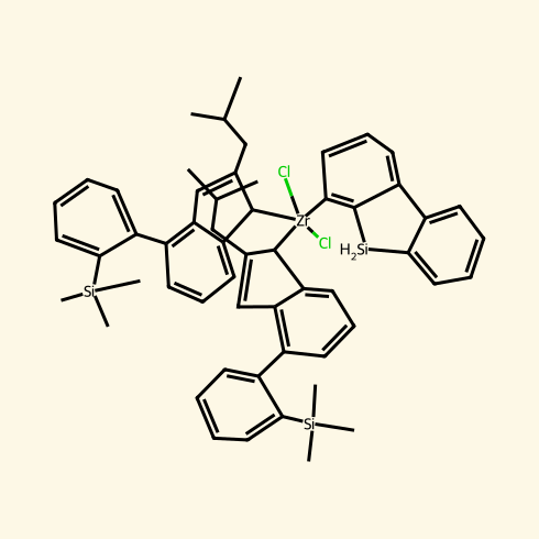 CC(C)CC1=Cc2c(-c3ccccc3[Si](C)(C)C)cccc2[CH]1[Zr]([Cl])([Cl])([c]1cccc2c1[SiH2]c1ccccc1-2)[CH]1C(CC(C)C)=Cc2c(-c3ccccc3[Si](C)(C)C)cccc21